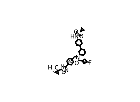 CC1(c2nc(C34CCC(CN(C(=O)C56CC(F)(C5)C6)c5cccc(-c6ccc(NS(=O)(=O)C7CC7)cc6)c5)(CC3)CC4)no2)CC1